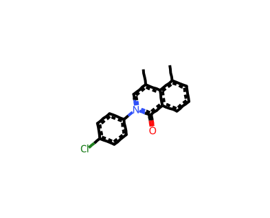 Cc1cccc2c(=O)n(-c3ccc(Cl)cc3)cc(C)c12